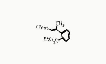 CCCCCC=C(C)c1ccccc1C(=O)OCC